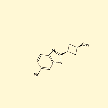 O[C@H]1C[C@@H](c2nc3ccc(Br)cc3s2)C1